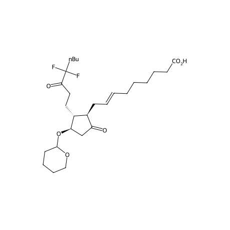 CCCCC(F)(F)C(=O)CC[C@H]1[C@H](OC2CCCCO2)CC(=O)[C@@H]1CC=CCCCCCC(=O)O